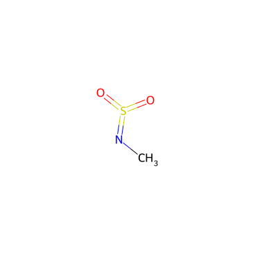 CN=S(=O)=O